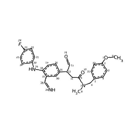 COc1ccc(CN(C)C(=O)CC(C=O)c2ccc(Nc3ccc(F)cc3)c(C=N)c2)cc1